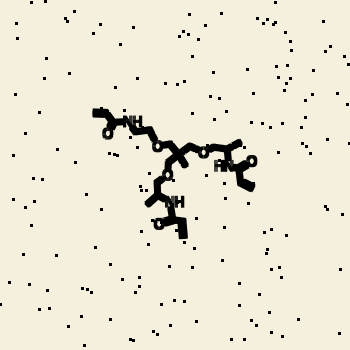 C=CC(=O)NCCOCC(C)(COCC(C)NC(=O)C=C)COCC(C)NC(=O)C=C